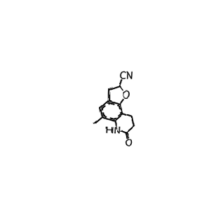 Cc1cc2c(c3c1NC(=O)CC3)OC(C#N)C2